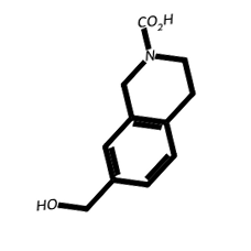 O=C(O)N1CCc2ccc(CO)cc2C1